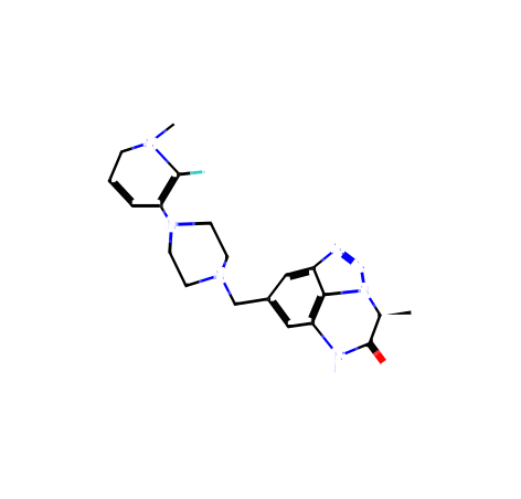 C[C@H]1C(=O)Nc2cc(CN3CCN(C4=C(F)N(C)CC=C4)CC3)cc3nnn1c23